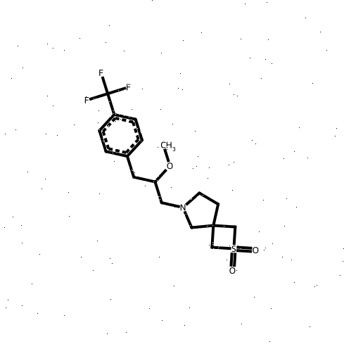 COC(Cc1ccc(C(F)(F)F)cc1)CN1CCC2(C1)CS(=O)(=O)C2